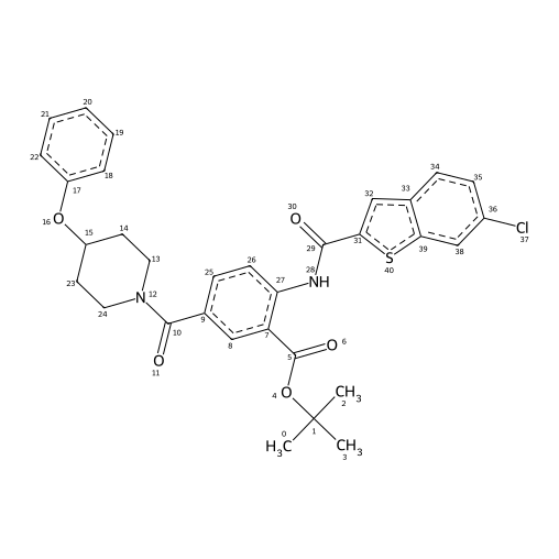 CC(C)(C)OC(=O)c1cc(C(=O)N2CCC(Oc3ccccc3)CC2)ccc1NC(=O)c1cc2ccc(Cl)cc2s1